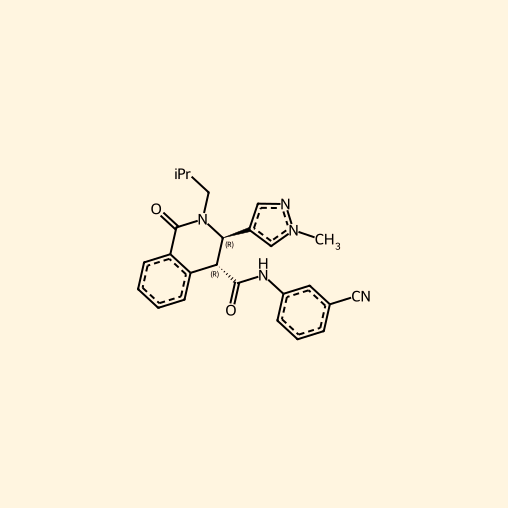 CC(C)CN1C(=O)c2ccccc2[C@@H](C(=O)Nc2cccc(C#N)c2)[C@@H]1c1cnn(C)c1